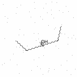 CCCCCCCC/C=C\CCCCCCCCN(CCCCCCCC/C=C\CCCCCCCC)C(C)O